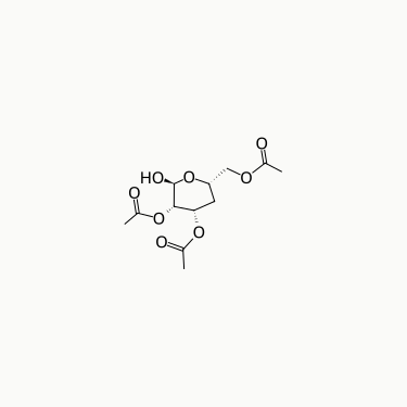 CC(=O)OC[C@@H]1C[C@H](OC(C)=O)[C@H](OC(C)=O)[C@@H](O)O1